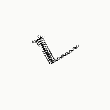 ClCCl.ClCCl.ClCCl.ClCCl.ClCCl.ClCCl.ClCCl.ClCCl.ClCCl.ClCCl.ClCCl.ClCCl.ClCCl.ClCCl.ClCCl.ClCCl.ClCCl.ClCCl.ClCCl.OCCCC(Cl)Cl